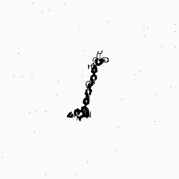 N#Cc1cnn2cc(-c3ccc(N4CCN(C(=O)CN5CCC(c6ccc(NC7CCC(=O)NC7=O)cc6)CC5)CC4)cc3)cc(-c3ccc(N4CC5CC5C4)nc3)c12